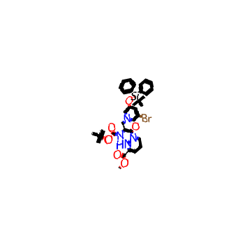 COC(=O)[C@@H]1CCCN(C(=O)[C@H](CN2CC(Br)=CC(O[Si](c3ccccc3)(c3ccccc3)C(C)(C)C)C2)NC(=O)OC(C)(C)C)N1